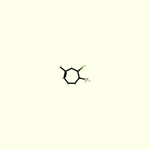 CC1=CCCC(C(F)(F)F)C(F)C1